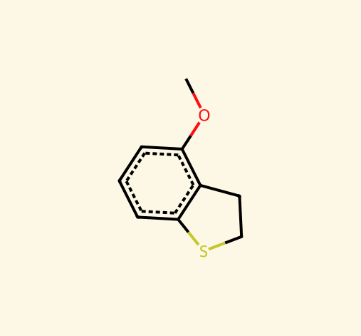 COc1cccc2c1CCS2